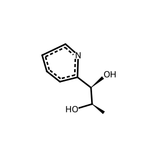 C[C@@H](O)[C@H](O)c1ccccn1